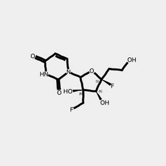 O=c1ccn(C2O[C@](F)(CCO)[C@@H](O)[C@]2(O)CF)c(=O)[nH]1